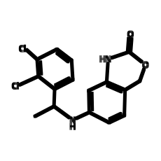 CC(Nc1ccc2c(c1)NC(=O)OC2)c1cccc(Cl)c1Cl